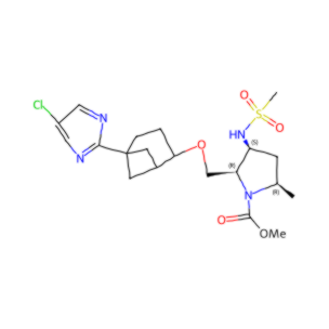 COC(=O)N1[C@H](C)C[C@H](NS(C)(=O)=O)[C@@H]1COC1CCC2(c3ncc(Cl)cn3)CC1C2